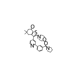 CC1(C)CC(=O)c2sc(N3CCOCC3)c(-c3ccnc(-c4cccc(C(=O)N5CCCC5)c4)c3)c2C1